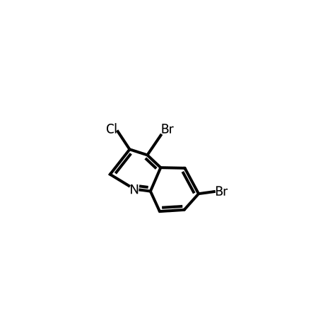 Clc1cnc2ccc(Br)cc2c1Br